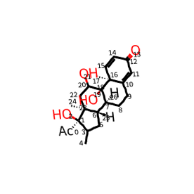 CC(=O)[C@@]1(O)C(C)C[C@H]2[C@@H]3CCC4=CC(=O)C=C[C@]4(C)[C@@]3(O)C(O)C[C@@]21C